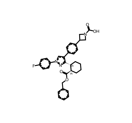 O=C(OCc1ccccc1)[C@@H]1CCCC[C@H]1c1nn(-c2ccc(F)cc2)cc1-c1ccc(C2CN(C(=O)O)C2)cc1